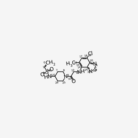 C=CS(=O)(=O)NC1CCN(C(=O)CNc2c(C)cc(Cl)c3nsnc23)CC1